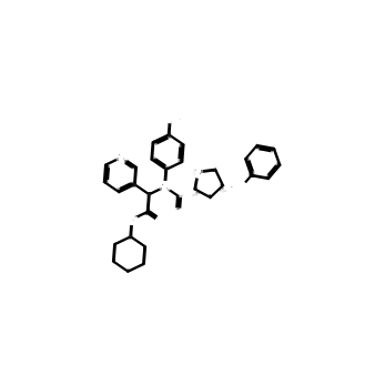 CC(C)(C)c1ccc(N(C(=O)[C@H]2C[C@@H](Oc3ccccc3)CN2)C(C(=O)NC2CCCCC2)c2cccnc2)cc1